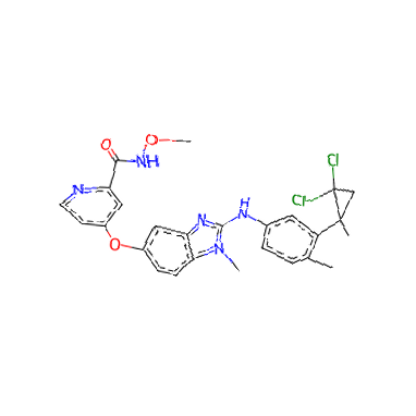 CONC(=O)c1cc(Oc2ccc3c(c2)nc(Nc2ccc(C)c(C4(C)CC4(Cl)Cl)c2)n3C)ccn1